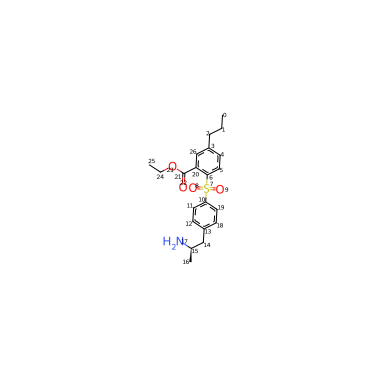 CCCc1ccc(S(=O)(=O)c2ccc(C[C@@H](C)N)cc2)c(C(=O)OCC)c1